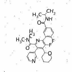 CC(C)NC(=O)c1ccc(F)c(-c2nc(C(=O)N(C)C)c(-c3cccnc3)c(C3CCCCO3)c2F)c1